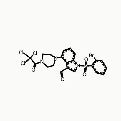 O=Cc1cn(S(=O)(=O)c2ccccc2Br)c2cccc(N3CCN(C(=O)C(Cl)(Cl)Cl)CC3)c12